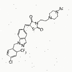 CC(=O)N1CCN(CCN2C(=O)SC(=Cc3ccc4c(cnn4Cc4ccc(Cl)cc4C(F)(F)F)c3)C2=O)CC1